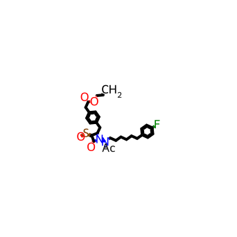 C=CCOC(=O)Cc1ccc(CC2C(=S=O)C(=O)N2N(CCCCCCc2ccc(F)cc2)C(C)=O)cc1